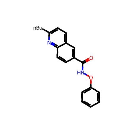 CCCCc1ccc2cc(C(=O)NOc3ccccc3)ccc2n1